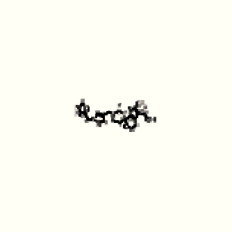 C[C@H]1C[C@@]2(CCN1Cc1cnn(Cc3nnco3)c1)OCCc1c2sc(C(F)(F)F)c1CO